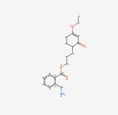 CCOC1=CC(=O)C(CCCOC(=O)c2ccccc2CN)CC1